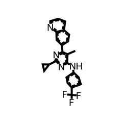 Cc1c(Nc2ccc(C(F)(F)F)cc2)nc(C2CC2)nc1-c1ccc2cccnc2c1